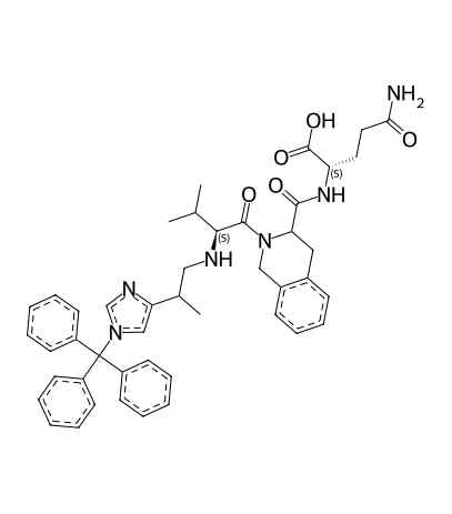 CC(CN[C@H](C(=O)N1Cc2ccccc2CC1C(=O)N[C@@H](CCC(N)=O)C(=O)O)C(C)C)c1cn(C(c2ccccc2)(c2ccccc2)c2ccccc2)cn1